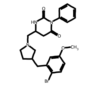 COc1ccc(Br)c(CC2CCN(CC3CC(=O)N(c4ccccc4)C(=O)N3)C2)c1